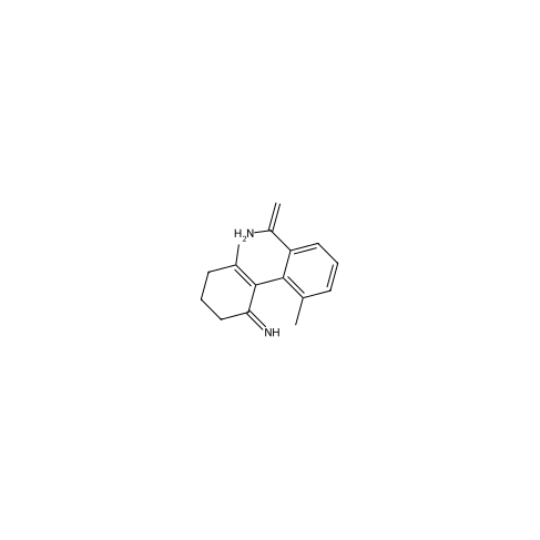 C=C(N)c1cccc(C)c1C1=C(C)CCCC1=N